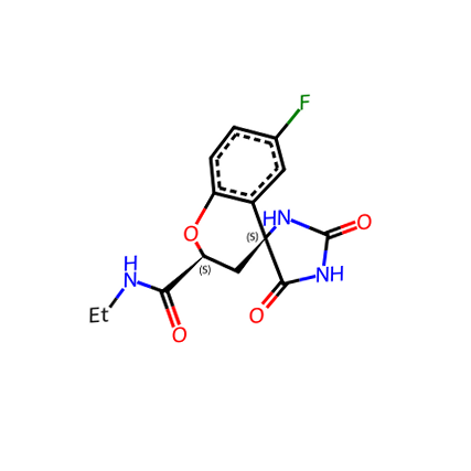 CCNC(=O)[C@@H]1C[C@]2(NC(=O)NC2=O)c2cc(F)ccc2O1